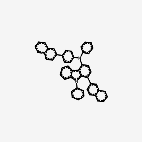 c1ccc(N(c2ccc(-c3ccc4ccccc4c3)cc2)c2ccc(-c3ccc4ccccc4c3)c3c2c2ccccc2n3-c2ccccc2)cc1